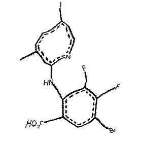 Cc1cc(I)cnc1Nc1c(C(=O)O)cc(Br)c(F)c1F